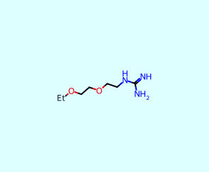 [CH2]COCCOCCNC(=N)N